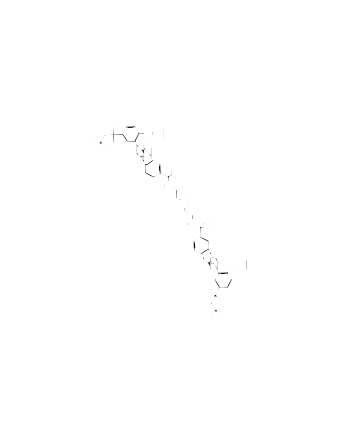 CC(C)(C)CC(C)(C)c1ccc(O)c(-n2n3c4ccc(C(=O)OCCOCCOC(=O)c5ccc6c(c5)n5n(-c7cc(C(C)(C)CC(C)(C)C)ccc7O)n65)cc4n23)c1